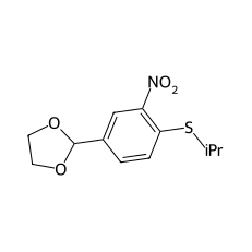 CC(C)Sc1ccc(C2OCCO2)cc1[N+](=O)[O-]